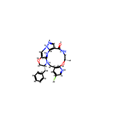 C[C@H]1CNC(=O)c2cnn3cc4c(nc23)N(Cc2cc(F)cnc2O1)[C@H](Cc1ccccc1)CO4